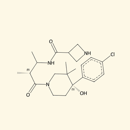 CC(NC(=O)C1CNC1)[C@@H](C)C(=O)N1CC[C@](O)(c2ccc(Cl)cc2)C(C)(C)C1